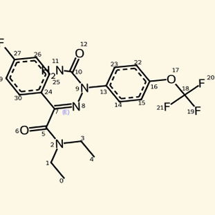 CCN(CC)C(=O)/C(=N/N(C(N)=O)c1ccc(OC(F)(F)F)cc1)c1ccc(F)cc1